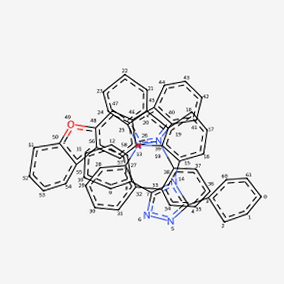 c1ccc(-c2nnc(-c3ccccc3)n2-c2cccc3c4ccccc4n(-c4ccccc4-c4ccccc4-n4c5ccccc5c5cc6oc7ccccc7c6cc54)c23)cc1